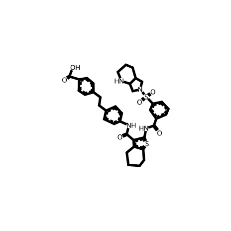 O=C(O)c1ccc(CCc2ccc(NC(=O)c3c(NC(=O)c4cccc(S(=O)(=O)N5CC6CCCNC6C5)c4)sc4c3CCCC4)cc2)cc1